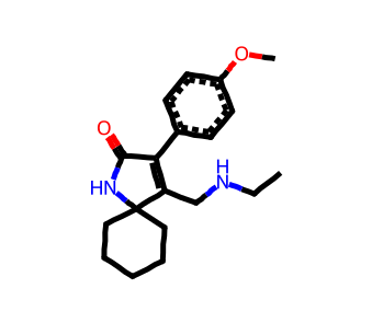 CCNCC1=C(c2ccc(OC)cc2)C(=O)NC12CCCCC2